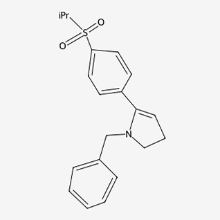 CC(C)S(=O)(=O)c1ccc(C2=CCCN2Cc2ccccc2)cc1